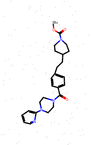 CC(C)(C)OC(=O)N1CCC(CCc2ccc(C(=O)N3CCN(c4ccccn4)CC3)cc2)CC1